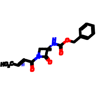 O=C(O)/C=C/C(=O)N1C[C@H](NC(=O)OCc2ccccc2)C1=O